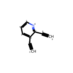 C#Cc1cccnc1C#C